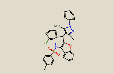 CC(=O)Oc1c(C(c2cccc(Cl)c2)c2oc3ccccc3c2NS(=O)(=O)c2ccc(C)cc2)c(C)nn1-c1ccccc1